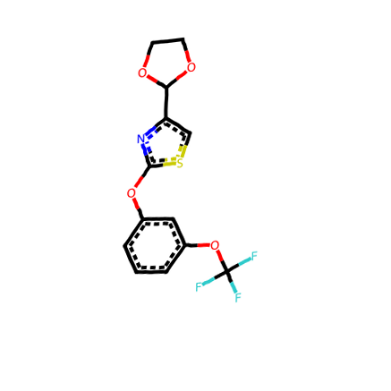 FC(F)(F)Oc1cccc(Oc2nc(C3OCCO3)cs2)c1